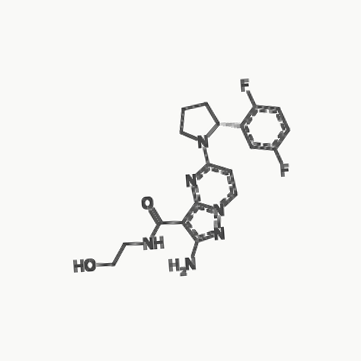 Nc1nn2ccc(N3CCC[C@@H]3c3cc(F)ccc3F)nc2c1C(=O)NCCO